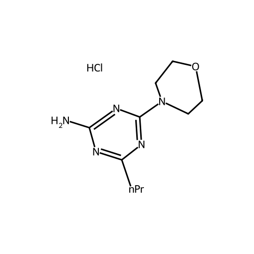 CCCc1nc(N)nc(N2CCOCC2)n1.Cl